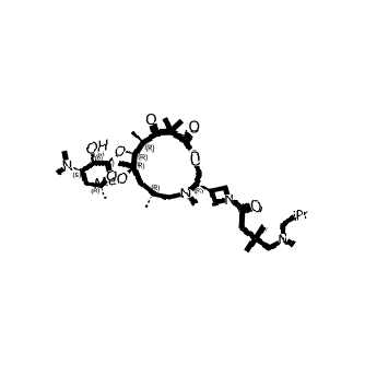 CO[C@]1(C)C[C@@H](C)CN(C)[C@H](C2CN(C(=O)CC(C)(C)CN(C)CC(C)C)C2)COC(=O)C(C)(C)C(=O)[C@H](C)[C@H]1O[C@@H]1O[C@H](C)C[C@H](N(C)C)[C@H]1O